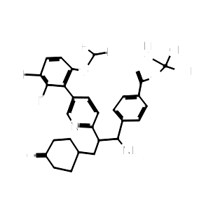 CC(C)(C)OC(=O)c1ccc(C(N)C(CC2CCC(=O)CC2)c2ccc(-c3c(OC(F)F)ccc(Cl)c3F)cn2)cc1